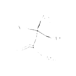 COC(=O)C(N)(O)S